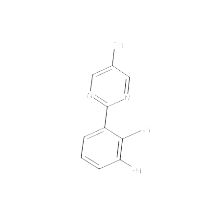 [2H]c1cccc(-c2ncc(O)cn2)c1C(C)C